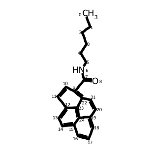 CCCCCCNC(=O)c1ccc2ccc3cccc4ccc1c2c34